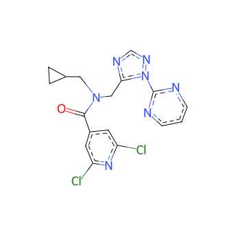 O=C(c1cc(Cl)nc(Cl)c1)N(Cc1ncnn1-c1ncccn1)CC1CC1